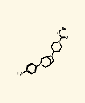 CC(C)(C)OC(=O)N1CCC(N2CC3CC2CN(c2ccc(N)cc2)C3)CC1